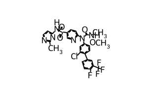 CNC(=O)N(c1ccc(S(=O)(=O)Nc2ccnc(C)n2)cn1)c1cc(Cl)c(-c2ccc(F)c(C(F)(F)F)c2)cc1OC